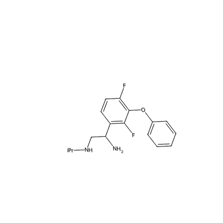 CC(C)NCC(N)c1ccc(F)c(Oc2ccccc2)c1F